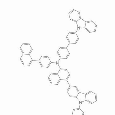 c1ccc(-n2c3ccccc3c3cc(-c4ccc(N(c5ccc(-c6ccc(-n7c8ccccc8c8ccccc87)cc6)cc5)c5ccc(-c6cccc7ccccc67)cc5)c5ccccc45)ccc32)cc1